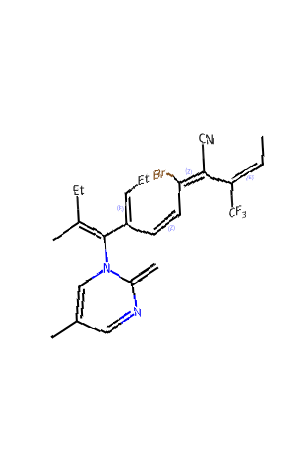 C=C1N=CC(C)=CN1C(=C(C)CC)C(/C=C\C(Br)=C(C#N)/C(=C\C)C(F)(F)F)=C/CC